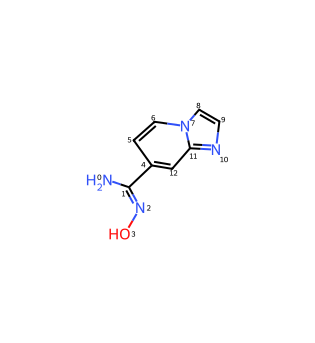 NC(=NO)c1ccn2ccnc2c1